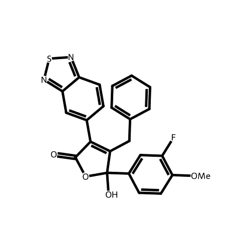 COc1ccc(C2(O)OC(=O)C(c3ccc4nsnc4c3)=C2Cc2ccccc2)cc1F